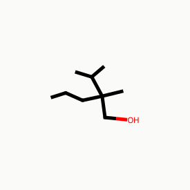 CCCC(C)(CO)C(C)C